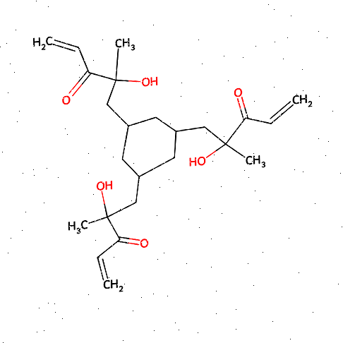 C=CC(=O)C(C)(O)CC1CC(CC(C)(O)C(=O)C=C)CC(CC(C)(O)C(=O)C=C)C1